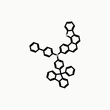 c1ccc(-c2ccc(N(c3ccc(C4(c5ccccc5)c5ccccc5-c5ccccc54)cc3)c3ccc4c(ccc5ccc6c7ccccc7sc6c54)c3)cc2)cc1